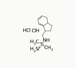 Cl.Cl.[CH3][Ti]([CH3])(=[SiH2])[NH]CC1CCC2CC=CC=C21